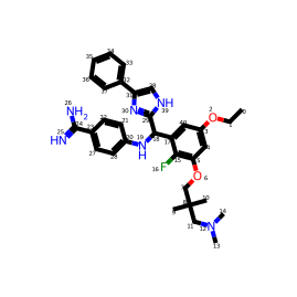 CCOc1cc(OCC(C)(C)CN(C)C)c(F)c(C(Nc2ccc(C(=N)N)cc2)c2nc(-c3ccccc3)c[nH]2)c1